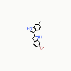 Cc1ccc2c(C3Cc4ccc(Br)cc4N3)c[nH]c2c1